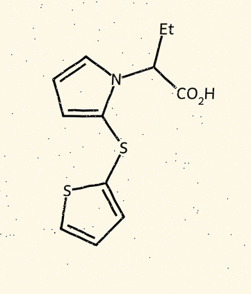 CCC(C(=O)O)n1cccc1Sc1cccs1